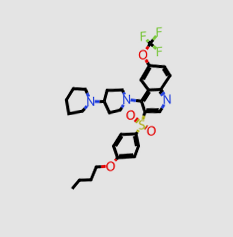 CCCCOc1ccc(S(=O)(=O)c2cnc3ccc(OC(F)(F)F)cc3c2N2CCC(N3CCCCC3)CC2)cc1